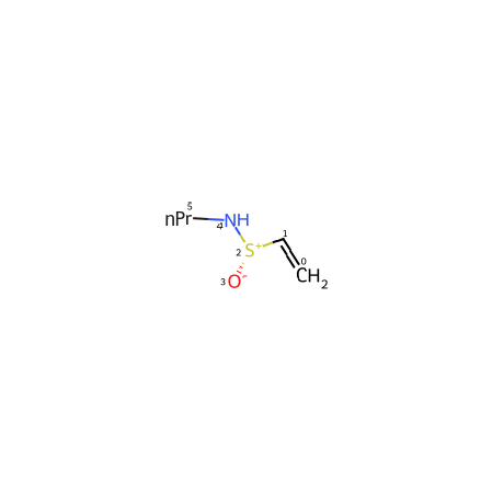 C=C[S@+]([O-])NCCC